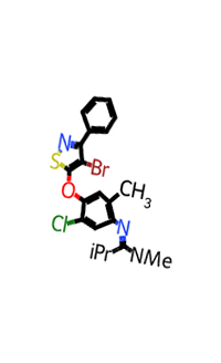 CNC(=Nc1cc(Cl)c(Oc2snc(-c3ccccc3)c2Br)cc1C)C(C)C